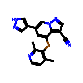 Cc1ccnc(C)c1Sc1cc(-c2cn[nH]c2)cn2ncc(C#N)c12